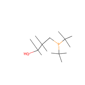 CC(C)(C)P(CC(C)(C)C(C)(C)O)C(C)(C)C